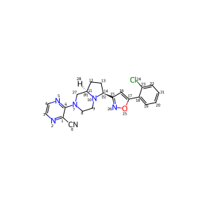 N#Cc1nccnc1N1CCN2[C@H](CC[C@H]2c2cc(-c3ccccc3Cl)on2)C1